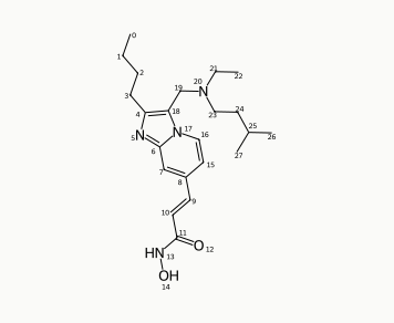 CCCCc1nc2cc(C=CC(=O)NO)ccn2c1CN(CC)CCC(C)C